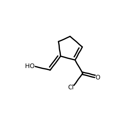 O=C(Cl)C1=CCCC1=CO